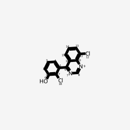 Oc1cccc(-c2ncnc3c(Cl)cccc23)c1Cl